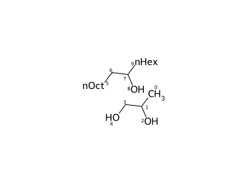 CC(O)CO.CCCCCCCCCC(O)CCCCCC